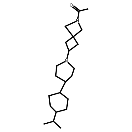 CC(=O)N1CC2(CC(N3CCC(C4CCC(C(C)C)CC4)CC3)C2)C1